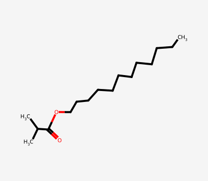 CCCCCCCCCCCCOC(=O)C(C)C